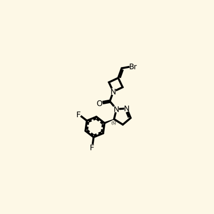 O=C(N1CC(=CBr)C1)N1N=CC[C@H]1c1cc(F)cc(F)c1